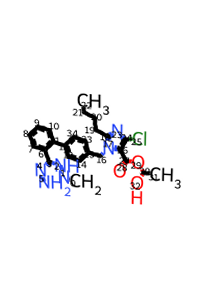 C=NN/C(=N\N)c1ccccc1-c1ccc(Cn2c(CCCC)nc(Cl)c2C(=O)OC(C)O)cc1